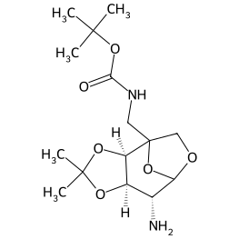 CC(C)(C)OC(=O)NCC12COC(O1)[C@H](N)[C@H]1OC(C)(C)O[C@H]12